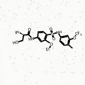 CCOc1cc(NC(=O)[C@@H](CO)C(C)C)ccc1S(=O)(=O)Nc1ccc(C)c(OC(F)(F)F)c1